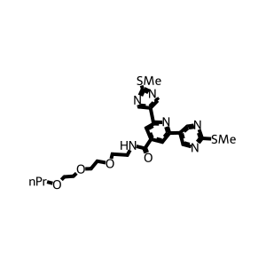 CCCOCCOCCOCCNC(=O)c1cc(-c2cnc(SC)nc2)nc(-c2cnc(SC)nc2)c1